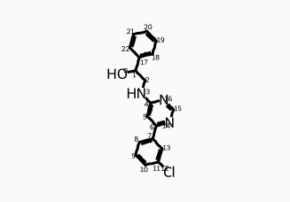 OC(CNc1cc(-c2cccc(Cl)c2)ncn1)c1ccccc1